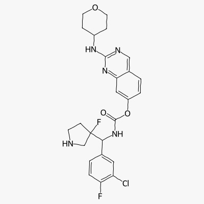 O=C(NC(c1ccc(F)c(Cl)c1)C1(F)CCNC1)Oc1ccc2cnc(NC3CCOCC3)nc2c1